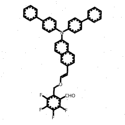 O=Cc1c(F)c(F)c(F)c(F)c1COC=Cc1ccc2cc(N(c3ccc(-c4ccccc4)cc3)c3ccc(-c4ccccc4)cc3)ccc2c1